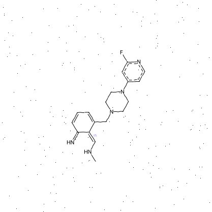 CN/C=C1\C(=N)C=CC=C1CN1CCN(c2ccnc(F)c2)CC1